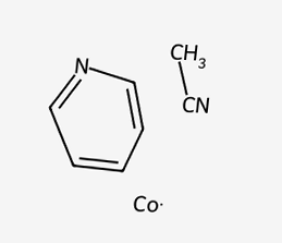 CC#N.[Co].c1ccncc1